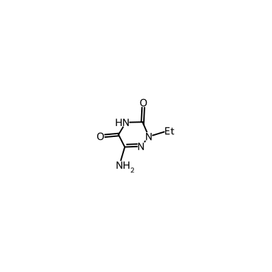 CCn1nc(N)c(=O)[nH]c1=O